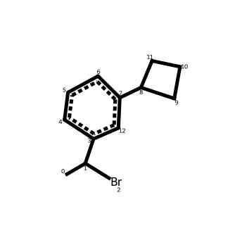 CC(Br)c1cccc(C2CCC2)c1